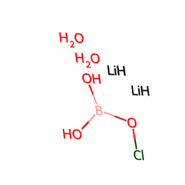 O.O.OB(O)OCl.[LiH].[LiH]